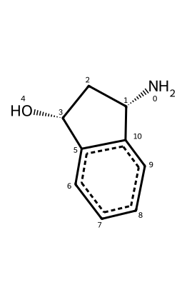 N[C@H]1C[C@@H](O)c2ccccc21